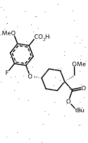 COC[C@]1(C(=O)OC(C)(C)C)CC[C@H](Oc2cc(C(=O)O)c(OC)cc2F)CC1